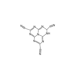 N#CC1=NC2=NC(C#N)=NC3=NC(C#N)NC(=N1)N23